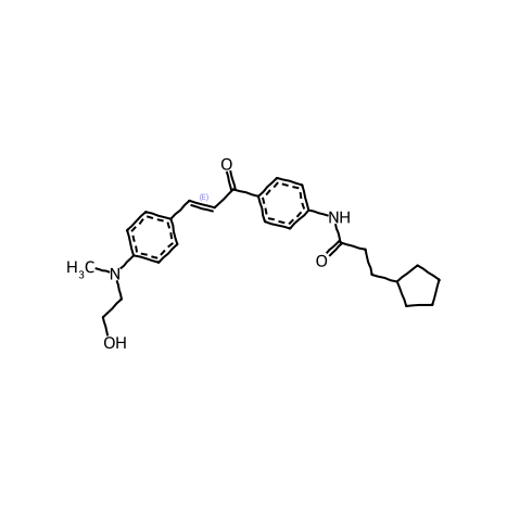 CN(CCO)c1ccc(/C=C/C(=O)c2ccc(NC(=O)CCC3CCCC3)cc2)cc1